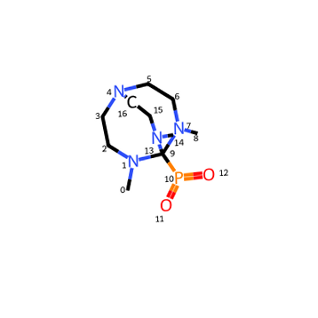 CN1CCN2CCN(C)C1(P(=O)=O)N(C)CC2